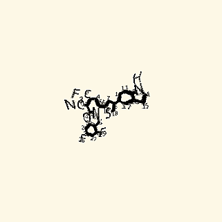 N#Cc1c(C(F)(F)F)cc(-c2cc(-c3ccc4[nH]ccc4c3)cs2)n(Cc2ccc(F)cc2F)c1=O